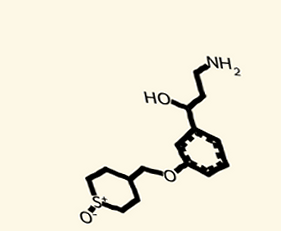 NCCC(O)c1cccc(OCC2CC[S+]([O-])CC2)c1